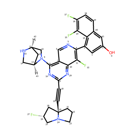 Oc1cc(-c2ncc3c(N4C[C@H]5C[C@@H]4CN5)nc(C#C[C@@]45CCCN4C[C@H](F)C5)nc3c2F)c2c(F)c(F)ccc2c1